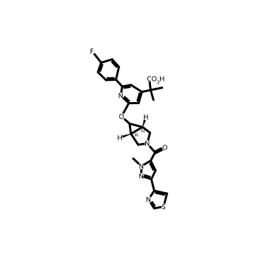 Cn1nc(-c2cscn2)cc1C(=O)N1C[C@@H]2C(Oc3cc(C(C)(C)C(=O)O)cc(-c4ccc(F)cc4)n3)[C@@H]2C1